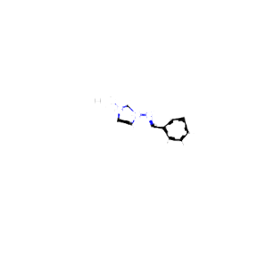 CN1C=CN(N=Cc2ccccc2)C1